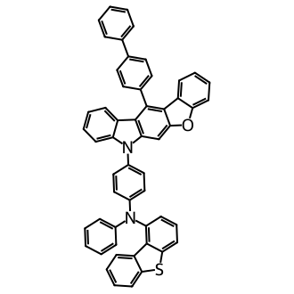 c1ccc(-c2ccc(-c3c4c(cc5c3c3ccccc3n5-c3ccc(N(c5ccccc5)c5cccc6sc7ccccc7c56)cc3)oc3ccccc34)cc2)cc1